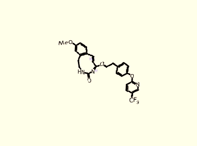 COc1ccc2c(c1)CCNC(=O)/N=C(OCCc1ccc(Oc3ccc(C(F)(F)F)cn3)cc1)\C=C\2